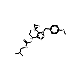 COc1ccc(Cn2nnc3c2[C@@]2(CC[C@H]3OC(=O)NCC(C)C)CO2)cc1